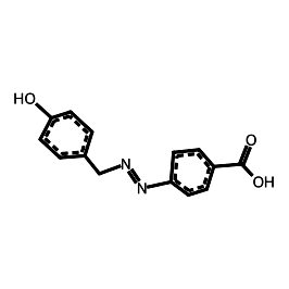 O=C(O)c1ccc(N=NCc2ccc(O)cc2)cc1